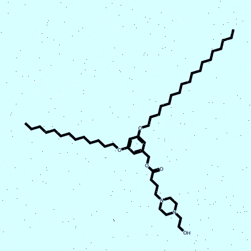 CCCCCCCCCCCCCCCCCCOc1cc(COC(=O)CCCN2CCN(CCO)CC2)cc(OCCCCCCCCCCCCC)c1